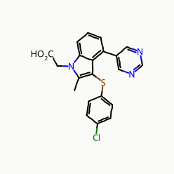 Cc1c(Sc2ccc(Cl)cc2)c2c(-c3cncnc3)cccc2n1CC(=O)O